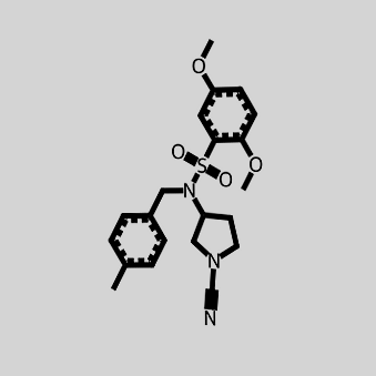 COc1ccc(OC)c(S(=O)(=O)N(Cc2ccc(C)cc2)C2CCN(C#N)C2)c1